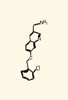 NCc1cnc2cc(OCc3ccccc3Cl)ccc2c1